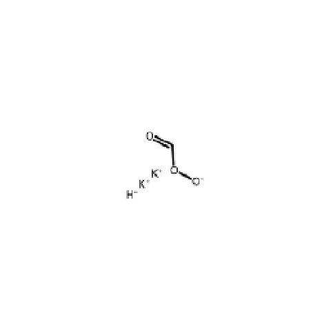 O=CO[O-].[H-].[K+].[K+]